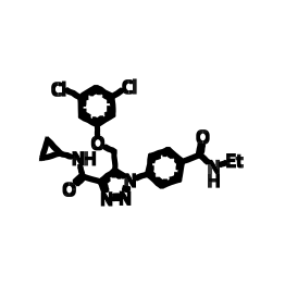 CCNC(=O)c1ccc(-n2nnc(C(=O)NC3CC3)c2COc2cc(Cl)cc(Cl)c2)cc1